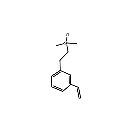 C=Cc1cccc(CC[Si](C)(C)Cl)c1